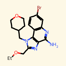 CCOCc1nc2c(N)nc3cc(Br)ccc3c2n1CC1CCOCC1